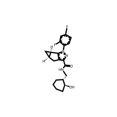 O=C(NC[C@H]1CCCC[C@@H]1O)c1nn(-c2ccc(F)cc2F)c2c1C[C@H]1C[C@@H]21